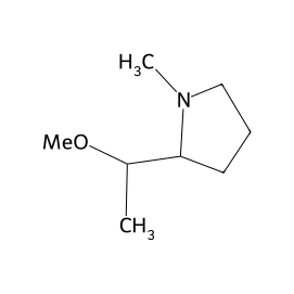 COC(C)C1CCCN1C